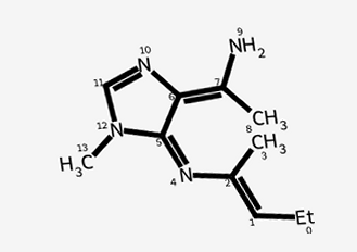 CC/C=C(C)/N=C1\C(=C(/C)N)N=CN1C